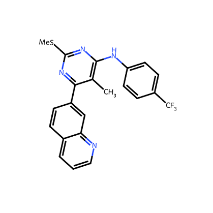 CSc1nc(Nc2ccc(C(F)(F)F)cc2)c(C)c(-c2ccc3cccnc3c2)n1